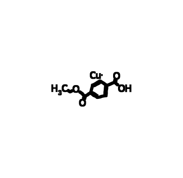 CCOC(=O)c1ccc(C(=O)O)cc1.[Cu]